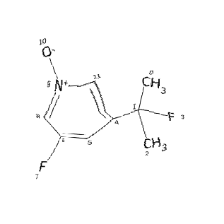 CC(C)(F)c1cc(F)c[n+]([O-])c1